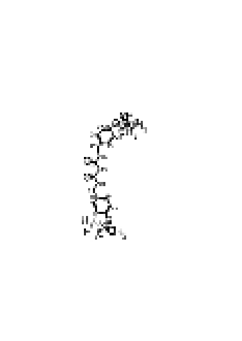 C[Si](C)(C)Oc1ccc(CCC(=O)CC(=O)CCc2ccc(O[Si](C)(C)C)cc2)cc1